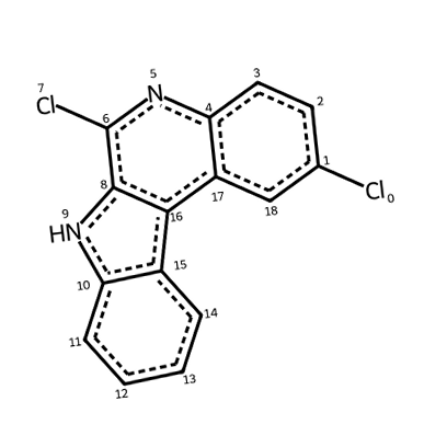 Clc1ccc2nc(Cl)c3[nH]c4ccccc4c3c2c1